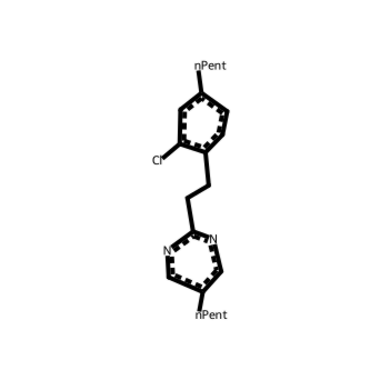 CCCCCc1cnc(CCc2ccc(CCCCC)cc2Cl)nc1